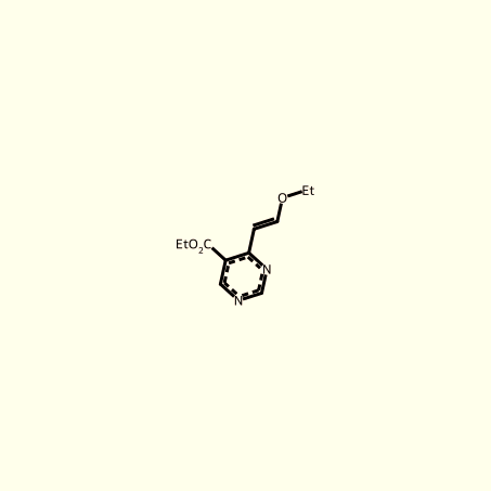 CCOC=Cc1ncncc1C(=O)OCC